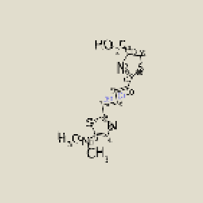 CN(C)c1cnc(/C=C/C=C/C2=NC(C(=O)O)CS2)s1